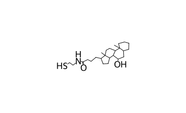 CC12CCC3C(C(O)CC4CCCCC43C)C1CCC2CCCC(=O)NCCS